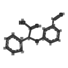 O=Cc1cccc(OC(C(=O)O)c2ccccc2)c1